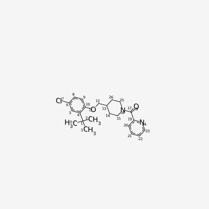 CC(C)(C)c1cc(Cl)ccc1OCC1CCN(C(=O)c2ccccn2)CC1